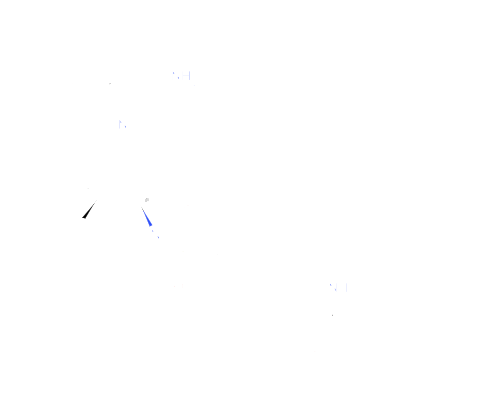 CC[C@H]1CN(C(=O)[C@H](C)N)CC[C@H]1NS(=O)(=O)c1ccc(NC(=O)c2ccccc2C)c2ccccc12